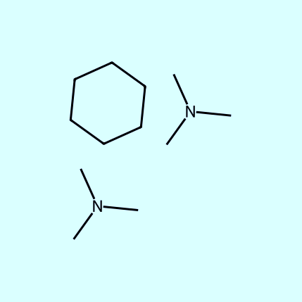 C1CCCCC1.CN(C)C.CN(C)C